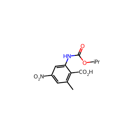 Cc1cc([N+](=O)[O-])cc(NC(=O)OC(C)C)c1C(=O)O